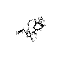 CCCn1c(CC#N)cc(Br)c1C(=O)c1ccc(Cl)c(Cl)c1